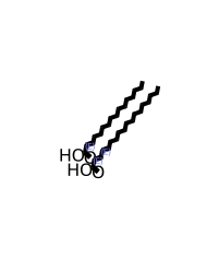 CCCCCCCCCCCCC/C=C/C(=O)O.CCCCCCCCCCCCC/C=C/C=C/C(=O)O